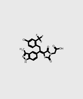 Cc1n[nH]c2ccc(/C(Cc3ccc(Cl)cc3C(F)(F)F)=C3\SC(=O)N(CC(=O)O)C3=O)cc12